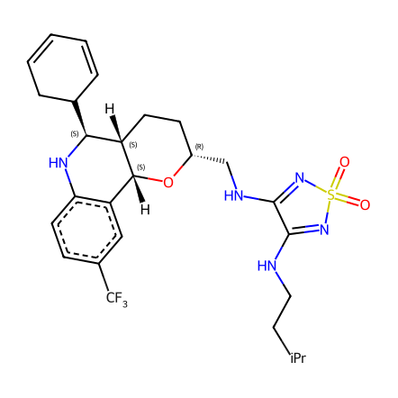 CC(C)CCNC1=NS(=O)(=O)N=C1NC[C@H]1CC[C@@H]2[C@H](O1)c1cc(C(F)(F)F)ccc1N[C@H]2C1C=CC=CC1